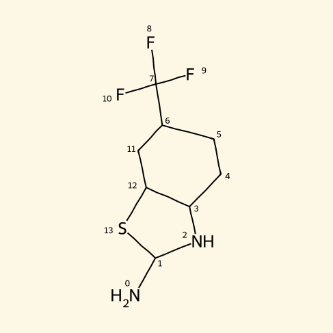 NC1NC2CCC(C(F)(F)F)CC2S1